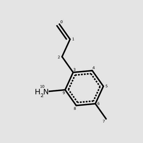 C=CCc1ccc(C)cc1N